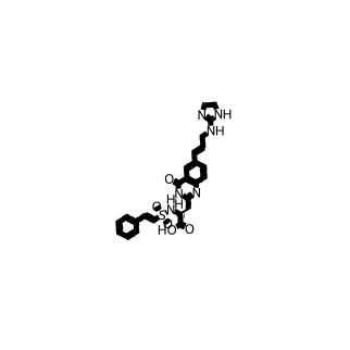 O=C(O)[C@H](Cc1nc2ccc(C=CCNC3=NCCN3)cc2c(=O)[nH]1)NS(=O)(=O)C=Cc1ccccc1